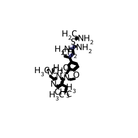 C=C/C(=C\C(N)=C(/N)SC(=C)N)C1=CC=C2OCCN(c3nc(CN(C)C)nc(C)c3CC(C)C)C[C@@]2(C)C1